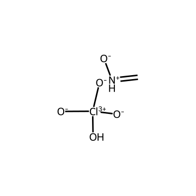 C=[NH+][O-].[O-][Cl+3]([O-])([O-])O